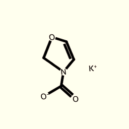 O=C([O-])N1C=COC1.[K+]